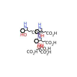 O=C(O)CC(O)(CC(=O)O)C(=O)O.O=C(O)CCC1CNc2cccc(O)c21.O=C(O)CCC1CNc2cccc(O)c21.O=C(O)CCC1CNc2cccc(O)c21